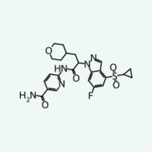 NC(=O)c1ccc(NC(=O)C(CC2CCOCC2)n2ncc3c(S(=O)(=O)C4CC4)cc(F)cc32)nc1